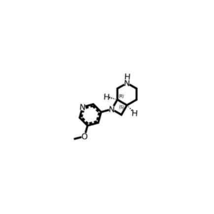 COc1cncc(N2C[C@@H]3CCNC[C@@H]32)c1